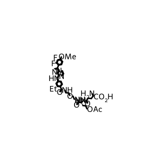 CCc1cc(Nc2nccn3c(-c4ccc(OC)c(F)c4F)cnc23)ccc1C(=O)NCCOCCNC(=O)[C@H](CCCOC(C)=O)NC(=O)CC[C@H](N)C(=O)O